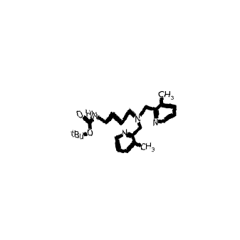 Cc1cccnc1CN(CC=CCNC(=O)OC(C)(C)C)Cc1ncccc1C